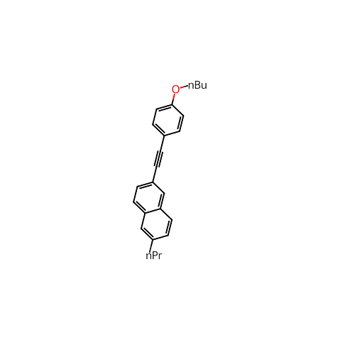 CCCCOc1ccc(C#Cc2ccc3cc(CCC)ccc3c2)cc1